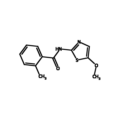 COc1cnc(NC(=O)c2ccccc2C)s1